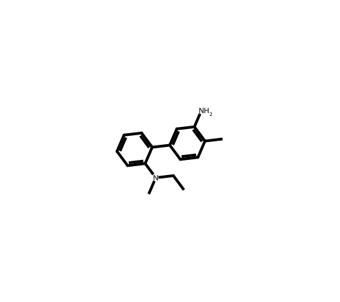 CCN(C)c1ccccc1-c1ccc(C)c(N)c1